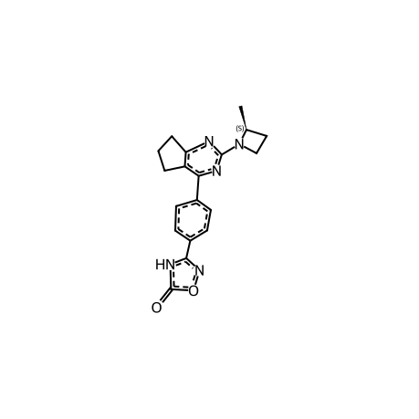 C[C@H]1CCN1c1nc2c(c(-c3ccc(-c4noc(=O)[nH]4)cc3)n1)CCC2